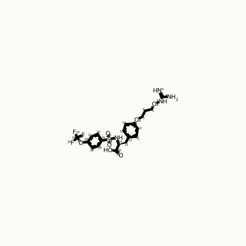 N=C(N)NOCCCOc1ccc(C[C@H](NS(=O)(=O)c2ccc(OC(F)(F)F)cc2)C(=O)O)cc1